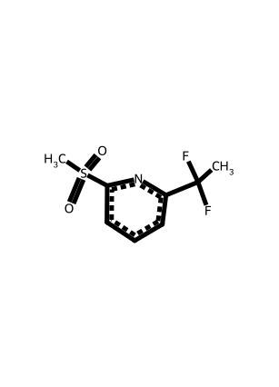 CC(F)(F)c1cccc(S(C)(=O)=O)n1